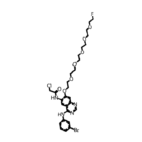 O=C(CCl)Nc1cc2c(Nc3cccc(Br)c3)ncnc2cc1OCCOCCOCCOCCOCCOCCF